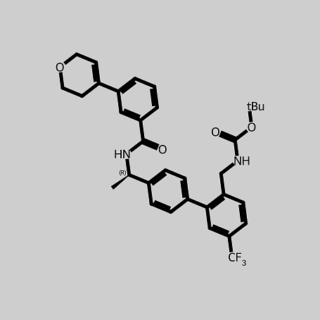 C[C@@H](NC(=O)c1cccc(C2=CCOCC2)c1)c1ccc(-c2cc(C(F)(F)F)ccc2CNC(=O)OC(C)(C)C)cc1